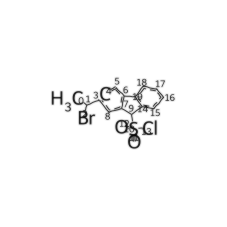 CC(Br)c1ccc2c(c1)C(S(=O)(=O)Cl)c1ccccc1-2